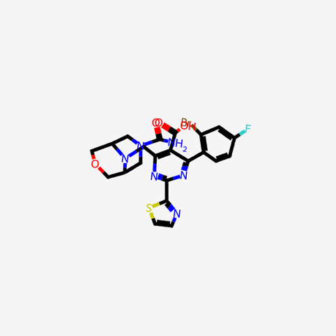 NC(=O)N1CC2COCC(C1)N2Cc1nc(-c2nccs2)nc(-c2ccc(F)cc2Br)c1C(=O)O